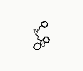 CN(CCCC1c2ccccc2OC12CCCCCC2)CCc1ccccc1